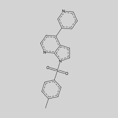 Cc1ccc(S(=O)(=O)n2ccc3c(-c4cccnc4)ccnc32)cc1